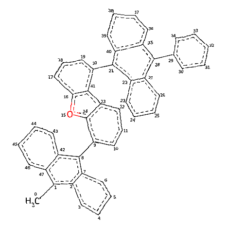 Cc1c2ccccc2c(-c2cccc3c2oc2cccc(-c4c5ccccc5c(-c5ccccc5)c5ccccc45)c23)c2ccccc12